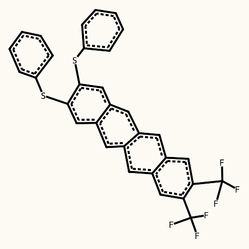 FC(F)(F)c1cc2cc3cc4cc(Sc5ccccc5)c(Sc5ccccc5)cc4cc3cc2cc1C(F)(F)F